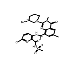 Cc1cc([C@@H](C)Nc2ccc(Cl)nc2C(=O)NS(C)(=O)=O)c2nc(N3CCC[C@H](C#N)C3)n(C)c(=O)c2c1